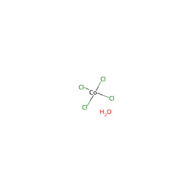 O.[Cl][Co]([Cl])([Cl])[Cl]